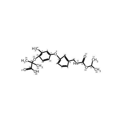 Cc1cc(Oc2cccc(CNC(=O)OC(C)C)c2)ccc1OC(C)(C)C(=O)O